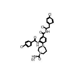 CCNC(=O)N1CCCN(c2ccc(C(=O)NC(Cl)Cc3ccc(Cl)cc3)cc2NC(=O)c2ccc(Cl)cc2)CC1